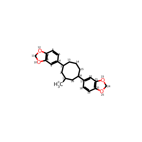 CC1CC(c2ccc3c(c2)OCO3)CCCC(c2ccc3c(c2)OCO3)C1